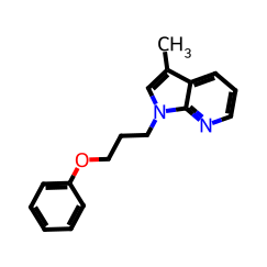 Cc1cn(CCCOc2ccccc2)c2ncccc12